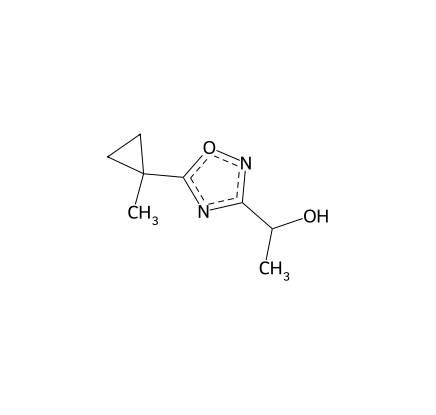 CC(O)c1noc(C2(C)CC2)n1